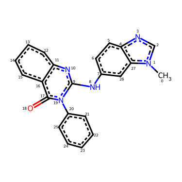 Cn1cnc2ccc(Nc3nc4ccccc4c(=O)n3-c3ccccc3)cc21